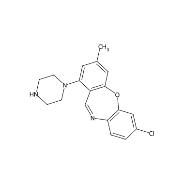 Cc1cc2c(c(N3CCNCC3)c1)C=Nc1ccc(Cl)cc1O2